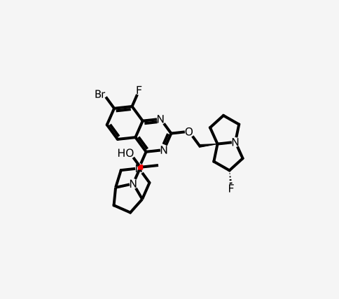 CC(O)N1C2CCC1CN(c1nc(OC[C@@]34CCCN3C[C@H](F)C4)nc3c(F)c(Br)ccc13)C2